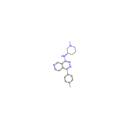 Cc1ccc(-c2nnc(N[C@@H]3CCCN(C)C3)c3cnccc23)cc1